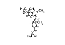 CCCc1c(SC(CC)Oc2ccc(CCC(=O)O)cc2)ccc(C(C)=O)c1O